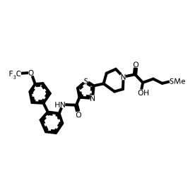 CSCCC(O)C(=O)N1CCC(c2nc(C(=O)Nc3ccccc3-c3ccc(OC(F)(F)F)cc3)cs2)CC1